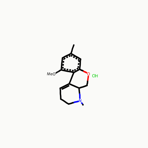 COc1cc(C)cc2c1C1=CCCN(C)C1CO2.Cl